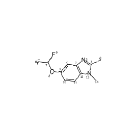 Cc1nc2cc(OC(F)F)ccc2n1C